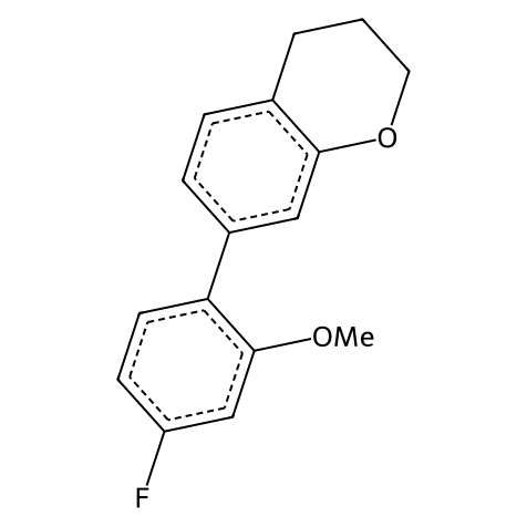 COc1cc(F)ccc1-c1ccc2c(c1)OCCC2